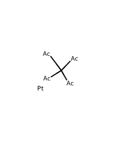 CC(=O)C(C(C)=O)(C(C)=O)C(C)=O.[Pt]